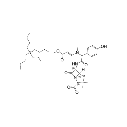 CCCC[N+](CCCC)(CCCC)CCCC.COC(=O)C=CN(C)C(C(=O)N[C@@H]1C(=O)N2[C@@H]1SC(C)(C)[C@@H]2C(=O)[O-])c1ccc(O)cc1